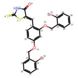 O=C1NC(=S)S/C1=C\c1ccc(OCc2ccccc2Br)cc1OCc1ccccc1Br